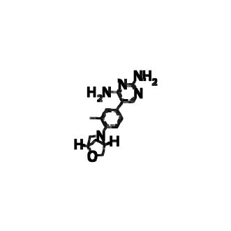 Cc1cc(-c2cnc(N)nc2N)ccc1N1C[C@@H]2C[C@H]1CO2